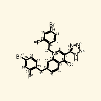 O=c1c(-c2nnn[nH]2)cn(Cc2ccc(Br)cc2F)c2cc(Cc3ccc(Br)cc3F)ccc12